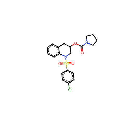 O=C(OC1Cc2ccccc2N(S(=O)(=O)c2ccc(Cl)cc2)C1)N1CCCC1